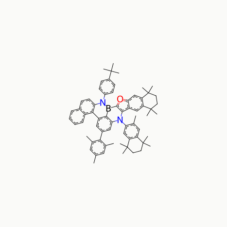 Cc1cc(C)c(-c2cc3c4c(c2)N(c2cc5c(cc2C)C(C)(C)CCC5(C)C)c2c(oc5cc6c(cc25)C(C)(C)CCC6(C)C)B4N(c2ccc(C(C)(C)C)cc2)c2ccc4ccccc4c2-3)c(C)c1